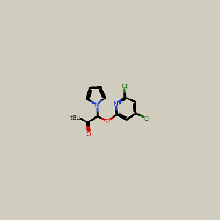 CC(C)(C)C(=O)C(Oc1cc(Cl)cc(Cl)n1)n1cccc1